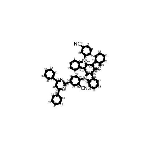 N#Cc1cccc(-n2c3ccccc3c3c4c(c5ccccc5n4-c4ccc(-c5nc(-c6ccccc6)cc(-c6ccccc6)n5)cc4C#N)c4oc5ccccc5c4c32)c1